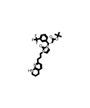 CC(C)(C)OC(=O)C[C@@H](c1cccc(C(F)(F)F)c1)n1ccn(CCCc2ccc3c(n2)NCCC3)c1=O